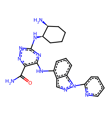 NC(=O)c1nnc(N[C@@H]2CCCC[C@@H]2N)nc1Nc1cccc2c1cnn2-c1ccccn1